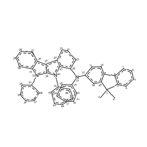 CC1(C)c2ccccc2-c2ccc(N(c3ccccc3)c3cccc4c5c6ccccc6n(-c6ccccc6)c5n(-c5ccccc5)c34)cc21